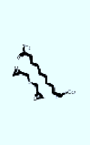 C(OCC1CO1)C1CO1.CCCCCCCC/C=C\CCCCCCCC(N)=O